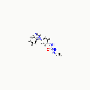 C=NNC(=O)Nc1ccc(-n2cnc3ccccc32)cc1